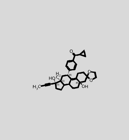 CC#C[C@]1(O)CCC2C3CC[C@@]4(O)CC5(CCC4=C3[C@@H](c3ccc(C(=O)C4CC4)cc3)C[C@@]21C)OCCO5